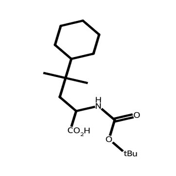 CC(C)(C)OC(=O)NC(CC(C)(C)C1CCCCC1)C(=O)O